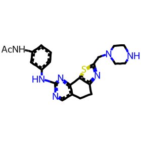 CC(=O)Nc1cccc(Nc2ncc3c(n2)-c2sc(CN4CCNCC4)nc2CC3)c1